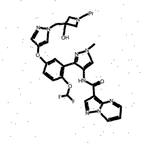 CC(C)N1CC(O)(Cn2cc(Oc3ccc(OC(F)F)c(-c4nn(C)cc4NC(=O)c4cnn5cccnc45)c3)cn2)C1